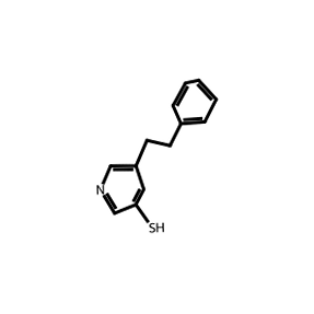 Sc1cncc(CCc2ccccc2)c1